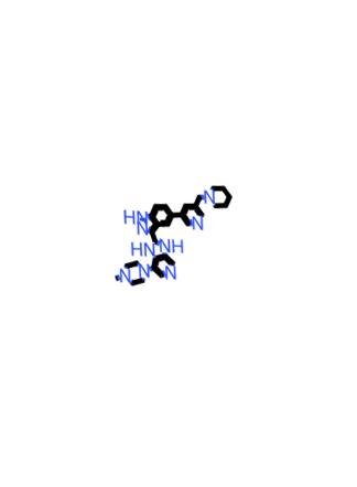 CN1CCN(c2cncc3c2NC(c2n[nH]c4ccc(-c5cncc(CN6CCCCC6)c5)cc24)N3)CC1